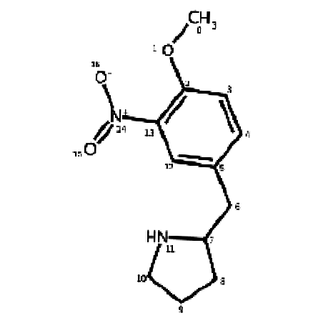 COc1ccc(CC2CCCN2)cc1[N+](=O)[O-]